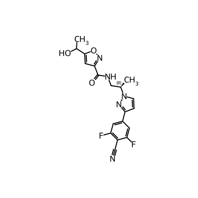 CC(O)c1cc(C(=O)NC[C@@H](C)n2ccc(-c3cc(F)c(C#N)c(F)c3)n2)no1